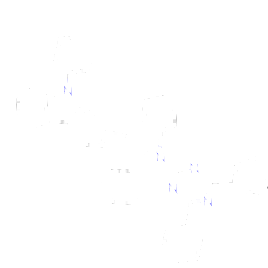 c1ccc(-c2nc(-c3ccccc3)nc(-n3c4ccccc4c4c5cc6c(cc5c5ccccc5c43)c3ccccc3n6-c3ccccc3)n2)cc1